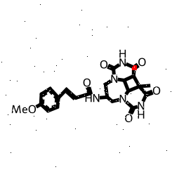 COc1ccc(/C=C/C(=O)NC2CN3C(=O)NC(=O)C4(C)C3C3N(C2)C(=O)NC(=O)C34C)cc1